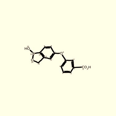 O=C(O)c1cccc(Oc2ccc3c(c2)COB3O)c1